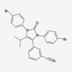 CC(C)c1c(-c2cccc(C#N)c2)n(-c2ccc(Br)cc2)c(=O)n1-c1ccc(Br)cc1